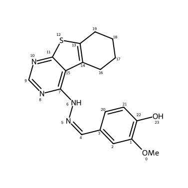 COc1cc(/C=N\Nc2ncnc3sc4c(c23)CCCC4)ccc1O